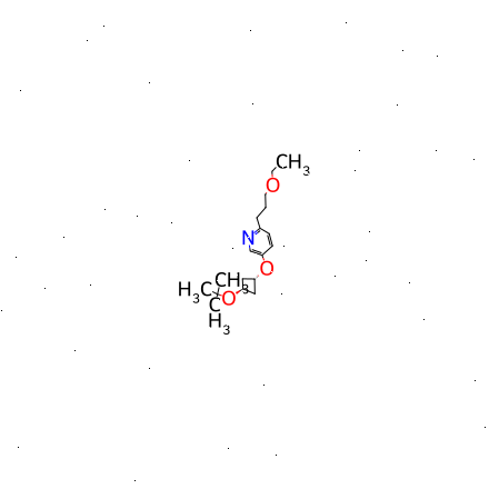 CCOCCCc1ccc(O[C@H]2C[C@H](OC(C)(C)C)C2)cn1